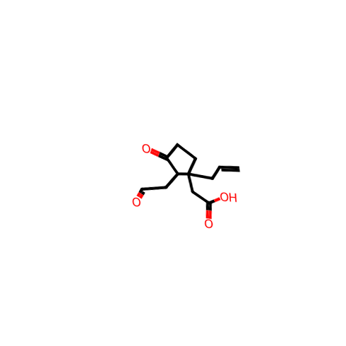 C=CCC1(CC(=O)O)CCC(=O)C1CC=O